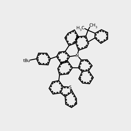 CC(C)(C)c1ccc(-c2ccc(N(c3ccc4c(c3)-c3ccccc3C4(C)C)c3ccc4ccccc4c3-c3cccc(-c4cccc5c4sc4ccccc45)c3)c(-c3ccccc3)c2)cc1